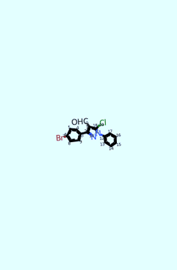 O=Cc1c(-c2ccc(Br)cc2)nn(-c2ccccc2)c1Cl